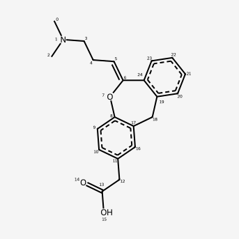 CN(C)CC/C=C1\Oc2ccc(CC(=O)O)cc2Cc2ccccc21